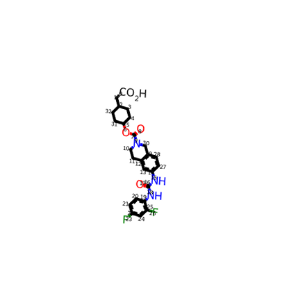 O=C(O)CC1CCC(OC(=O)N2CCc3cc(NC(=O)Nc4ccc(F)cc4F)ccc3C2)CC1